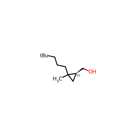 CC(C)(C)CCCC1(C)C[C@@H]1CO